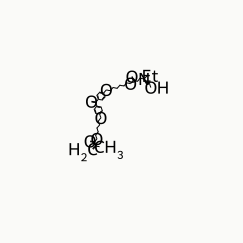 C=C(C)C(=O)OCCCCCOc1ccc(C(=O)c2ccc(OCCCCCCOC(=O)CCN(CC)CCO)cc2)cc1